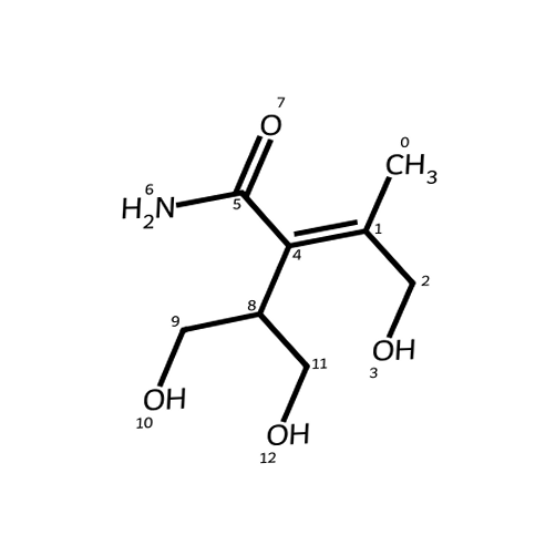 CC(CO)=C(C(N)=O)C(CO)CO